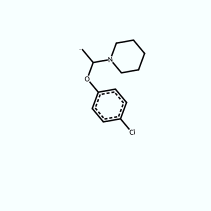 [CH2]C(Oc1ccc(Cl)cc1)N1CCCCC1